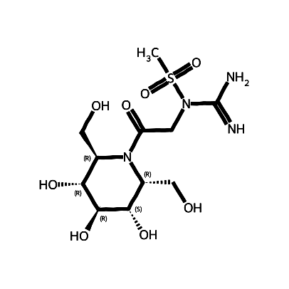 CS(=O)(=O)N(CC(=O)N1[C@H](CO)[C@H](O)[C@@H](O)[C@H](O)[C@H]1CO)C(=N)N